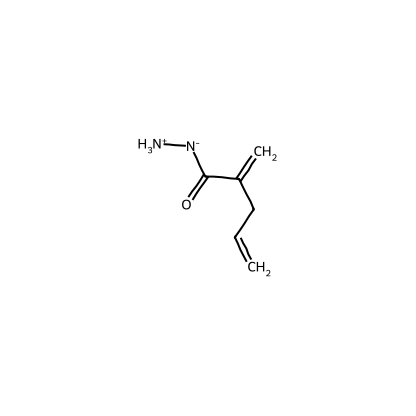 C=CCC(=C)C(=O)[N-][NH3+]